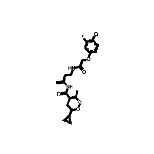 C=C(CCNC(=O)COc1ccc(Cl)c(F)c1)NC(=O)C1CC(C2CC2)OOC1C